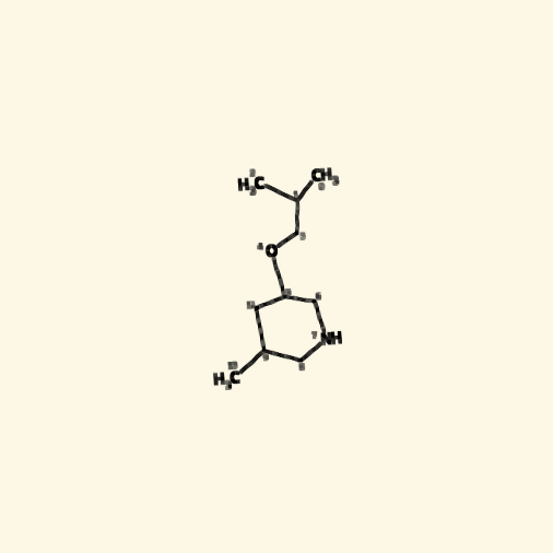 CC(C)COC1CNCC(C)C1